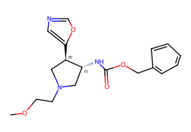 COCCN1C[C@@H](NC(=O)OCc2ccccc2)[C@H](c2cnco2)C1